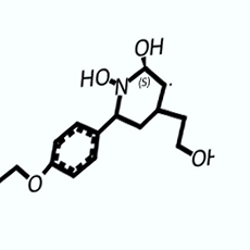 CCOc1ccc(C2CC(CCO)[CH][C@H](O)N2O)cc1